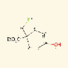 CCOC(=O)C1(CF)CC=C(O)CC1